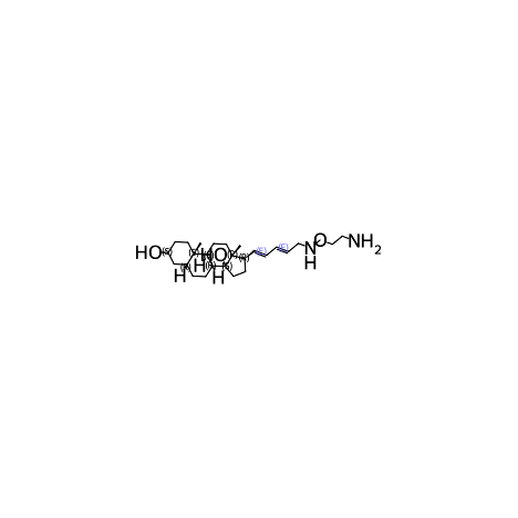 C[C@]12CC[C@H](O)C[C@H]1CC[C@@H]1[C@@H]2CC[C@]2(C)[C@@H](/C=C/C=C/CNOCCN)CC[C@]12O